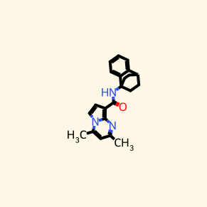 Cc1cc(C)n2ccc(C(=O)NC34CCC(CC3)c3ccccc34)c2n1